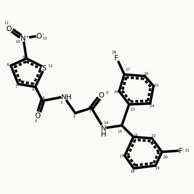 O=C(CNC(=O)c1ccc([N+](=O)[O-])s1)NC(c1cccc(F)c1)c1cccc(F)c1